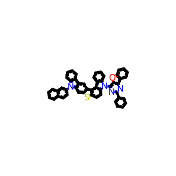 c1ccc(-c2nc(-n3c4ccccc4c4c5c(ccc43)sc3cc4c(cc35)c3ccccc3n4-c3ccc4ccccc4c3)c3oc4ccccc4c3n2)cc1